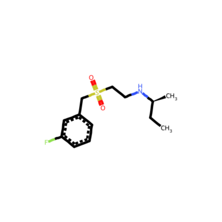 CC[C@H](C)NCCS(=O)(=O)Cc1cccc(F)c1